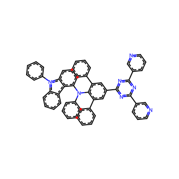 c1ccc(-c2cc(-c3nc(-c4cccnc4)nc(-c4cccnc4)n3)cc(-c3ccccc3)c2N(c2ccccc2)c2cccc3c2c2ccccc2n3-c2ccccc2)cc1